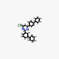 Clc1cc(-c2ccc(-c3ccccc3)cc2)nc(-c2cccc(-c3ccccc3)c2)n1